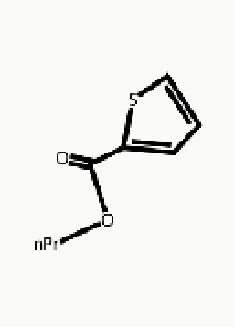 CCCOC(=O)c1cccs1